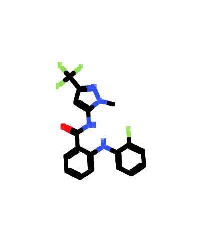 Cn1nc(C(F)(F)F)cc1NC(=O)c1ccccc1Nc1ccccc1F